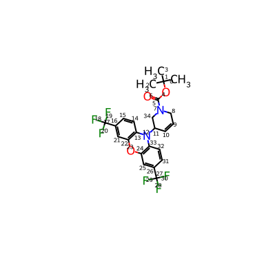 CC(C)(C)OC(=O)N1CC=CC(N2c3ccc(C(F)(F)F)cc3Oc3cc(C(F)(F)F)ccc32)C1